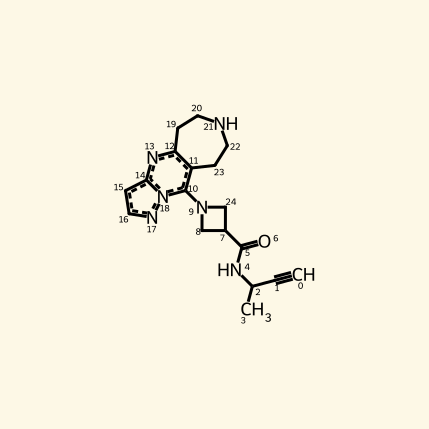 C#CC(C)NC(=O)C1CN(c2c3c(nc4ccnn24)CCNCC3)C1